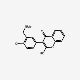 CNCc1cc(-c2c(O)oc3ccccc3c2=O)ccc1Cl